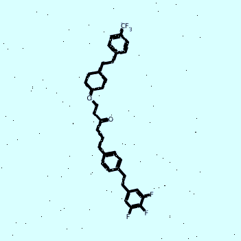 O=C(CCCc1ccc(CCc2cc(F)c(F)c(F)c2)cc1)CCOC1CCC(CCc2ccc(C(F)(F)F)cc2)CC1